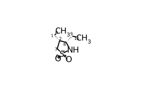 CC[C@H]1CS(=O)(=O)N[C@H]1CC